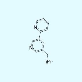 C[C](C)Cc1cncc(-c2ccccn2)c1